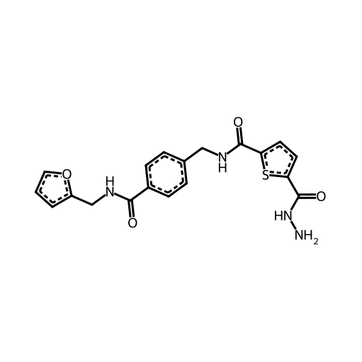 NNC(=O)c1ccc(C(=O)NCc2ccc(C(=O)NCc3ccco3)cc2)s1